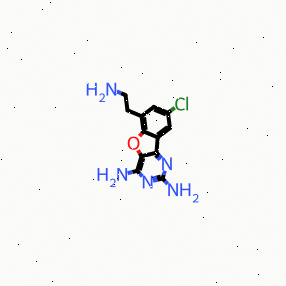 NCCc1cc(Cl)cc2c1oc1c(N)nc(N)nc12